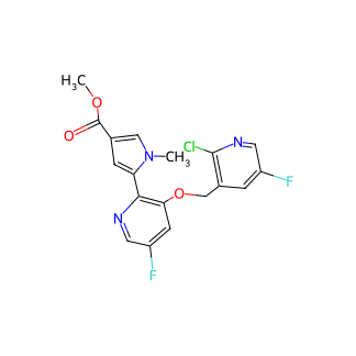 COC(=O)c1cc(-c2ncc(F)cc2OCc2cc(F)cnc2Cl)n(C)c1